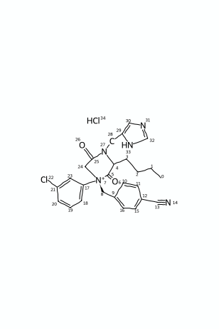 CCCCC1C(=O)[N@+](Cc2ccc(C#N)cc2)(c2cccc(Cl)c2)CC(=O)N1Cc1cnc[nH]1.Cl